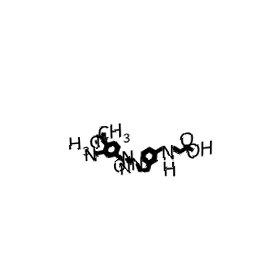 CN(C)c1ccc(-c2nc(N3CCc4cc(CNCCC(=O)O)ccc43)no2)cc1C#N